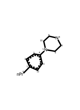 CCCc1ccc(N2CC[N]CC2)cc1